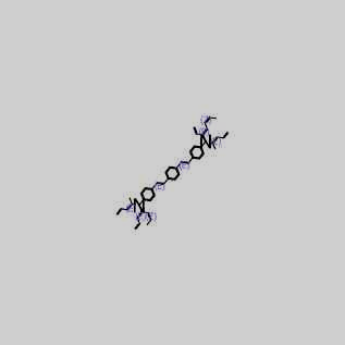 C=C/C=C(\C)N(/C(C=C)=C/C=C\C)c1ccc(/C=C/c2ccc(/C=C/c3ccc(N(/C(C)=C/C=C)C(/C=C\C)=C/C=C)cc3)cc2)cc1